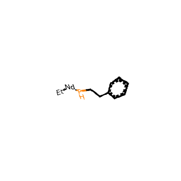 C[CH2][Nd][PH]CCc1ccccc1